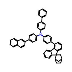 c1ccc(-c2ccc(N(c3ccc(-c4ccc5ccccc5c4)cc3)c3ccc(-c4cccc5c4-c4ccccc4C54CC5CCC4C5)cc3)cc2)cc1